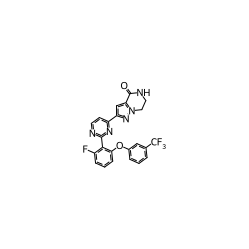 O=C1NCCn2nc(-c3ccnc(-c4c(F)cccc4Oc4cccc(C(F)(F)F)c4)n3)cc21